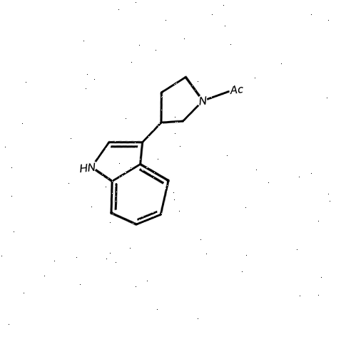 CC(=O)N1CCC(c2c[nH]c3ccccc23)C1